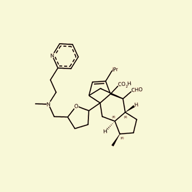 CC(C)C1=CC2CC3(C=O)[C@@H]4CC[C@@H](C)[C@H]4CC2(C2CCC(CN(C)CCc4ccccn4)O2)C13C(=O)O